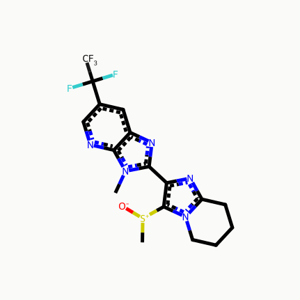 Cn1c(-c2nc3n(c2[S+](C)[O-])CCCC3)nc2cc(C(F)(F)C(F)(F)F)cnc21